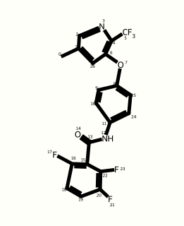 Cc1cnc(C(F)(F)F)c(Oc2ccc(NC(=O)c3c(F)ccc(F)c3F)cc2)c1